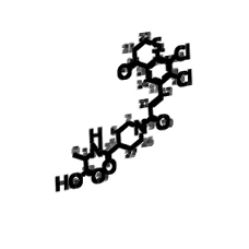 CC(NC(=O)C1CCN(C(=O)C=Cc2cc3c(c(Cl)c2Cl)SCCC3=O)CC1)C(=O)O